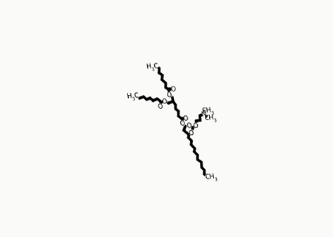 CCCCCCCCCCCCC(CCOC(=O)CCCCC(COC(=O)CCCCCCC)COC(=O)CCCCCCC)OC(=O)OCCCN(C)C